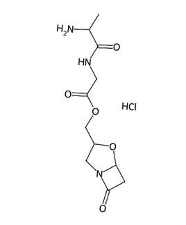 CC(N)C(=O)NCC(=O)OCC1CN2C(=O)CC2O1.Cl